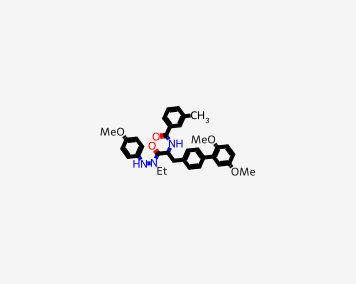 CCN(Nc1ccc(OC)cc1)C(=O)C(Cc1ccc(-c2cc(OC)ccc2OC)cc1)NC(=O)c1cccc(C)c1